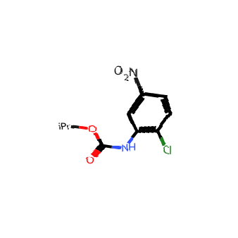 CC(C)OC(=O)Nc1cc([N+](=O)[O-])ccc1Cl